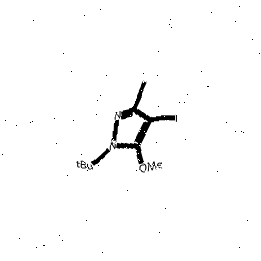 COc1c(I)c(C)nn1C(C)(C)C